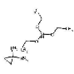 CCO[SiH](OCC)OCC.NC1(N)CC1